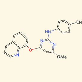 COc1cc(Oc2cccc3cccnc23)nc(Nc2ccc(C#N)cc2)n1